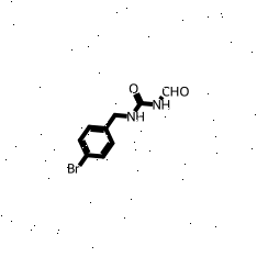 O=CNC(=O)NCc1ccc(Br)cc1